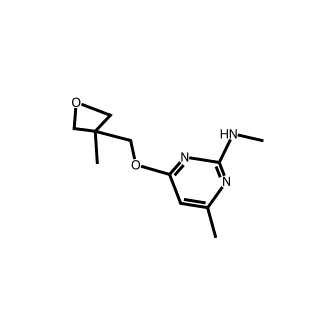 CNc1nc(C)cc(OCC2(C)COC2)n1